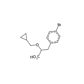 O=C(O)C(Cc1ccc(Br)cc1)OCC1CC1